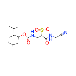 CC1CCC(C(C)C)C(OC(=O)NCC(C(=O)NCC#N)S(C)(=O)=O)C1